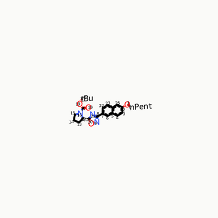 CCCCCOc1ccc2cc(-c3noc([C@@H]4CCCN4C(=O)OC(C)(C)C)n3)ccc2c1